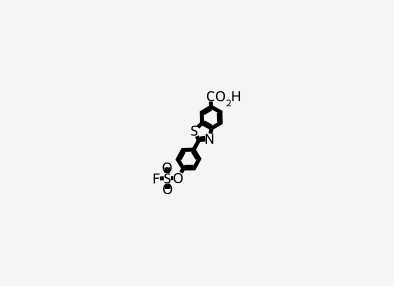 O=C(O)c1ccc2nc(-c3ccc(OS(=O)(=O)F)cc3)sc2c1